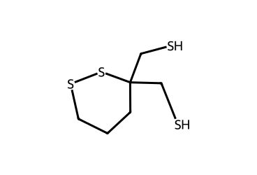 SCC1(CS)CCCSS1